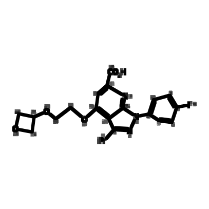 CC(C)c1nn(-c2ccc(F)cc2)c2nc(C(=O)O)cc(OCCOC3COC3)c12